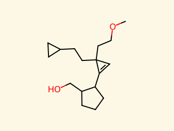 COCCC1(CCC2CC2)C=C1C1CCCC1CO